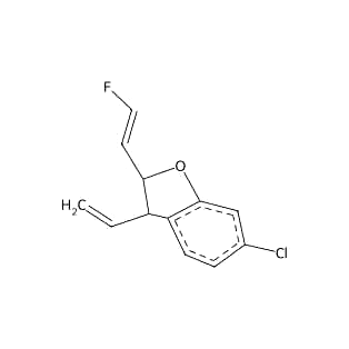 C=CC1c2ccc(Cl)cc2OC1/C=C/F